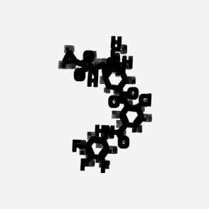 C[C@H]1CC2C[C@@H](S(=O)(=O)c3cc(C(=O)Nc4cc(F)c(F)c(F)c4)ccc3Cl)C[C@H]1[C@@]2(O)CNS(=O)(=O)C1CC1